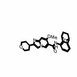 COc1cc2nc(C3CCOCC3)cn2cc1C(=O)Nc1cccc2c1C1CCC2O1